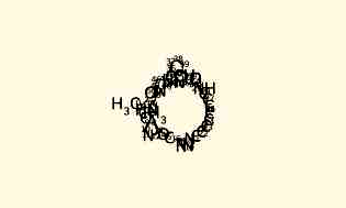 CC(C)C[C@H]1NC(=O)c2ccncc2OCc2cn(nn2)CCCCCCCCNC(=O)[C@H](Cc2ccccc2)N(C)C(=O)[C@H]2CCCN2C1=O